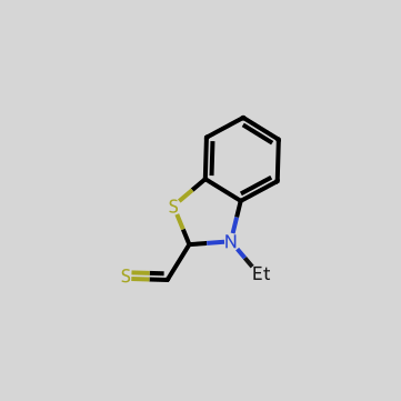 CCN1c2ccccc2SC1C=S